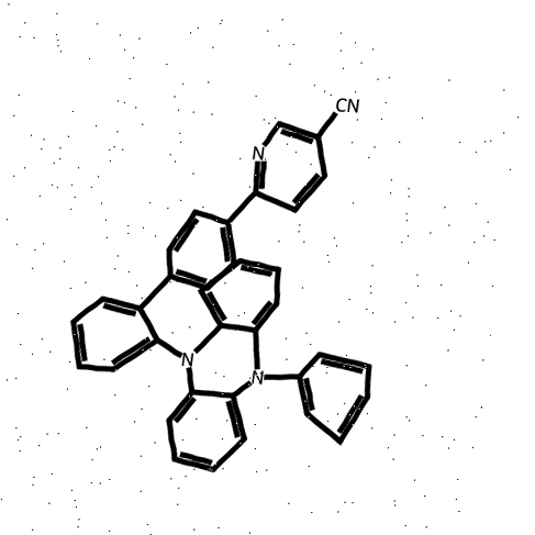 N#Cc1ccc(-c2ccc(-c3ccccc3N3c4ccccc4N(c4ccccc4)c4ccccc43)cc2)nc1